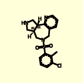 Cc1c(Cl)cccc1S(=O)(=O)N1Cc2cccnc2[C@H]2CNC[C@@H]2C1